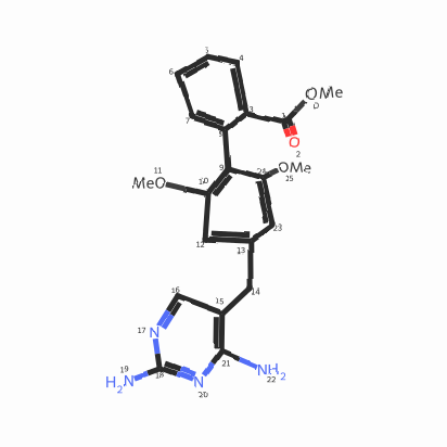 COC(=O)c1ccccc1-c1c(OC)cc(Cc2cnc(N)nc2N)cc1OC